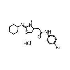 CN1C(=NC2CCCCC2)SCC1CC(=O)Nc1ccc(Br)cc1.Cl